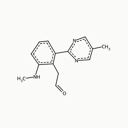 CNc1cccc(-c2ncc(C)cn2)c1CC=O